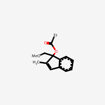 CCC(=O)OC1(COC)C(C)=Cc2ccccc21